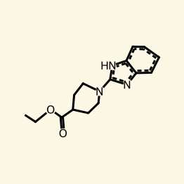 CCOC(=O)C1CCN(c2nc3ccccc3[nH]2)CC1